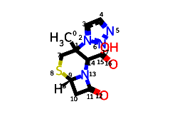 CC1(n2ccnn2)CS[C@H]2CC(=O)N2C1C(=O)O